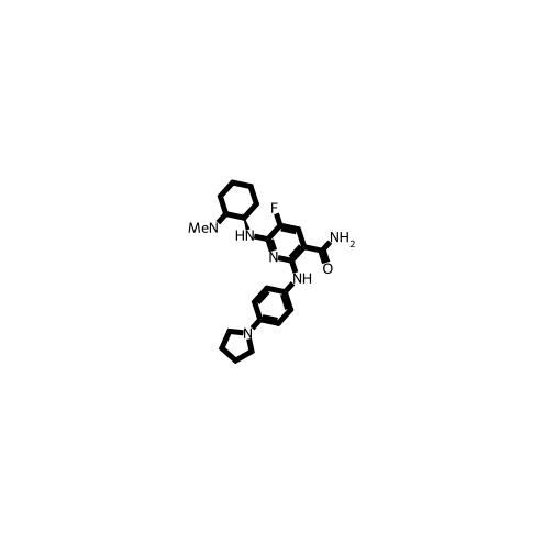 CNC1CCCC[C@H]1Nc1nc(Nc2ccc(N3CCCC3)cc2)c(C(N)=O)cc1F